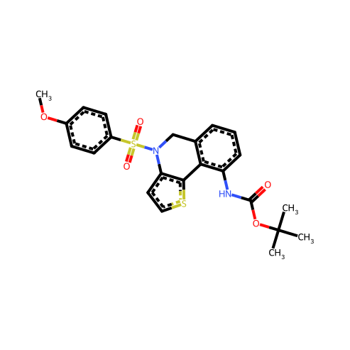 COc1ccc(S(=O)(=O)N2Cc3cccc(NC(=O)OC(C)(C)C)c3-c3sccc32)cc1